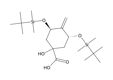 C=C1[C@H](O[Si](C)(C)C(C)(C)C)CC(O)(C(=O)O)C[C@H]1O[Si](C)(C)C(C)(C)C